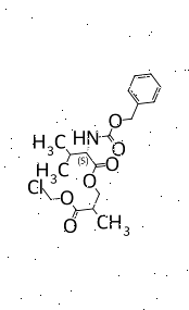 CC(COC(=O)[C@@H](NC(=O)OCc1ccccc1)C(C)C)C(=O)OCCl